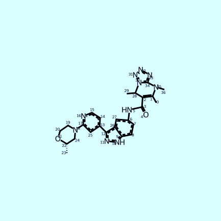 CC1=C(C(=O)Nc2ccc3[nH]nc(-c4ccnc(N5CCO[C@@H](C)C5)c4)c3c2)C(C)n2nnnc2N1C